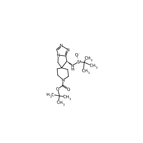 CC(C)(C)OC(=O)N1CCC2(CC1)Cn1cnnc1[C@H]2N[S@+]([O-])C(C)(C)C